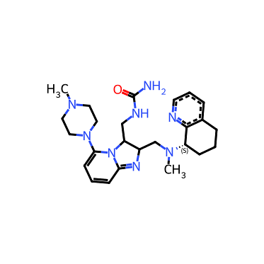 CN1CCN(C2=CC=CC3=NC(CN(C)[C@H]4CCCc5cccnc54)C(CNC(N)=O)N23)CC1